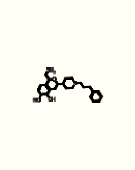 NCC1OC(C2CCN(CCCc3ccccc3)CC2)Cc2c1ccc(O)c2O